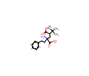 CC(C)(C)C(C[C@@](N)(CCc1ccccc1)C(=O)O)C(=O)O